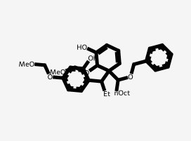 CCCCCCCCC(OCc1ccccc1)C1(C(CC)c2ccc(OCOC)cc2O)C=CC=C(O)C1OCOC